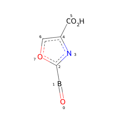 O=Bc1nc(C(=O)O)co1